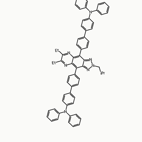 CCc1nc2c(-c3ccc(-c4ccc(N(c5ccccc5)c5ccccc5)cc4)cc3)c3nn(CC(C)C)nc3c(-c3ccc(-c4ccc(N(c5ccccc5)c5ccccc5)cc4)cc3)c2nc1CC